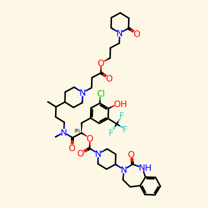 CC(CCN(C)C(=O)[C@@H](Cc1cc(Cl)c(O)c(C(F)(F)F)c1)OC(=O)N1CCC(N2CCc3ccccc3NC2=O)CC1)C1CCN(CCC(=O)OCCCN2CCCCC2=O)CC1